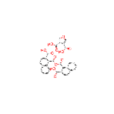 O=C(O)c1ccc2ccccc2c1C(=O)OC(=O)c1c(C(=O)O)ccc2ccccc12.O=C(O)c1cocc1C(=O)O